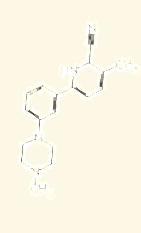 CC1=CC=C(c2cccc(N3CCN(C)CC3)c2)NC1C#N